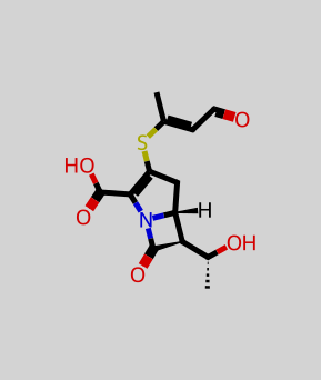 CC(=CC=O)SC1=C(C(=O)O)N2C(=O)[C@H]([C@@H](C)O)[C@H]2C1